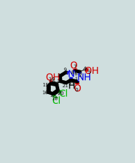 O=C1N[C@@H](CO)C(=O)N2CC[C@@H](c3c(O)ccc(Cl)c3Cl)C[C@@H]12